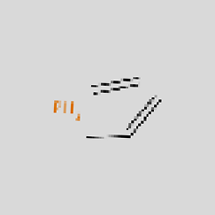 C=C.C=CC.P